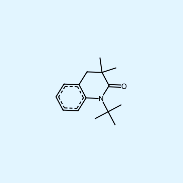 CC1(C)Cc2ccccc2N(C(C)(C)C)C1=O